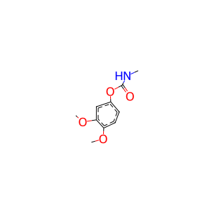 CNC(=O)Oc1ccc(OC)c(OC)c1